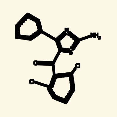 Nc1nc(-c2ccccc2)c(C(=O)c2c(Cl)cccc2Cl)s1